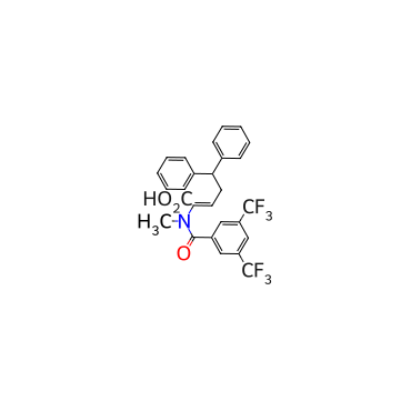 CN(C(=O)c1cc(C(F)(F)F)cc(C(F)(F)F)c1)C(=CCC(c1ccccc1)c1ccccc1)C(=O)O